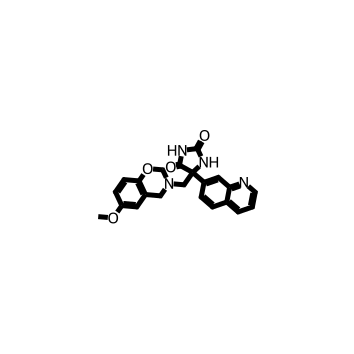 COc1ccc2c(c1)CN(CC1(c3ccc4cccnc4c3)NC(=O)NC1=O)CO2